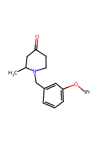 CC(C)Oc1cccc(CN2CCC(=O)CC2C)c1